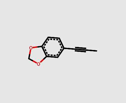 CC#Cc1ccc2c(c1)OCO2